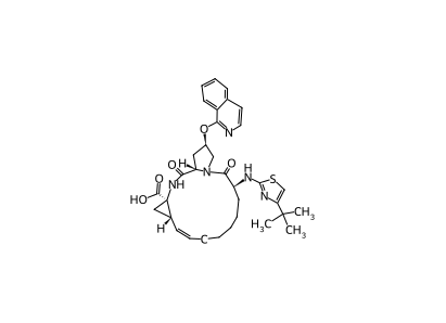 CC(C)(C)c1csc(N[C@H]2CCCCC/C=C\[C@@H]3C[C@@]3(C(=O)O)NC(=O)[C@@H]3C[C@@H](Oc4nccc5ccccc45)CN3C2=O)n1